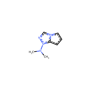 CN(C)n1ncn2cccc12